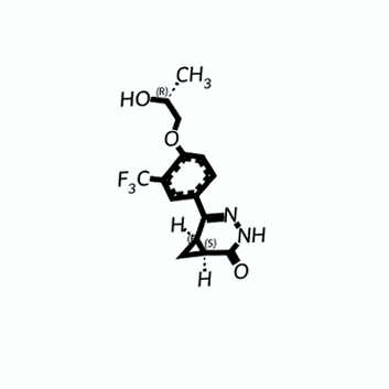 C[C@@H](O)COc1ccc(C2=NNC(=O)[C@H]3C[C@@H]23)cc1C(F)(F)F